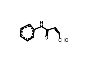 O=C/C=C\C(=O)Nc1ccccc1